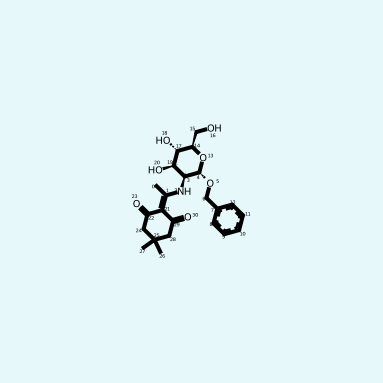 CC(N[C@@H]1[C@@H](OCc2ccccc2)O[C@H](CO)[C@@H](O)[C@@H]1O)=C1C(=O)CC(C)(C)CC1=O